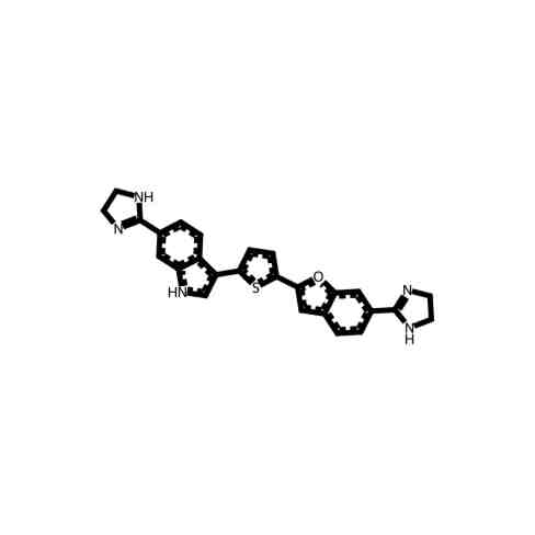 c1cc2c(-c3ccc(-c4cc5ccc(C6=NCCN6)cc5o4)s3)c[nH]c2cc1C1=NCCN1